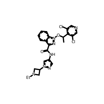 CCN1CC(n2cc(NC(=O)c3nn(OC(C)c4c(Cl)cncc4Cl)c4ccccc34)cn2)C1